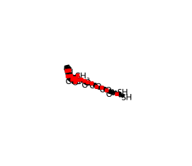 CCC1(OC(=O)CCCC(=O)OCCOCCOCCOCCOC(=O)CCCCC(S)CCS)C(=O)OCc2c1cc1n(c2=O)Cc2cc3ccccc3nc2-1